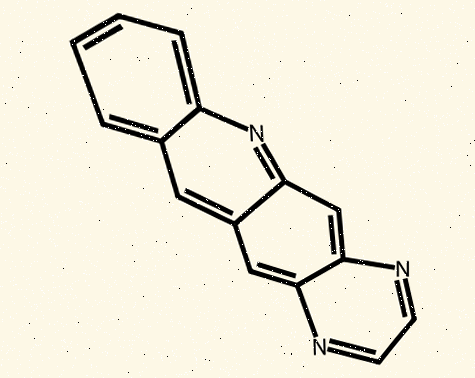 c1ccc2nc3cc4nccnc4cc3cc2c1